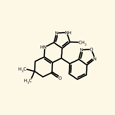 Cc1[nH]nc2c1C(c1cccc3nonc13)C1=C(CC(C)(C)CC1=O)N2